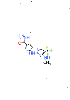 CNc1nc(Nc2ccc(C(=O)NN)cc2)ncc1C(F)(F)F